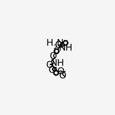 COC(C)Oc1cccc2oc(C(=O)NCCOc3ccc(C(=O)Nc4ccccc4N)cc3)cc12